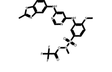 CSc1ccc(S(=O)(=O)N(C)OC(=O)C(F)(F)F)cc1Nc1cc(Nc2ccc3sc(C)nc3c2)ncn1